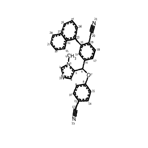 Cn1cncc1C(Oc1ccc(C#N)cc1)c1ccc(C#N)c(-c2cccc3ccccc23)c1